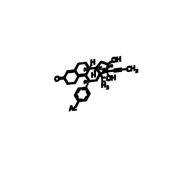 CC#C[C@]1(O)[C@H](O)C[C@H]2[C@@H]3CCC4=CC(=O)CCC4=C3[C@@H](c3ccc(C(C)=O)cc3)C[C@@]21C